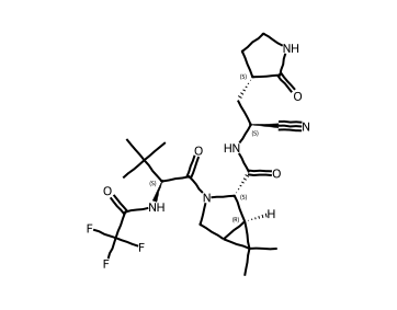 CC(C)(C)[C@H](NC(=O)C(F)(F)F)C(=O)N1CC2[C@@H]([C@H]1C(=O)N[C@H](C#N)C[C@@H]1CCNC1=O)C2(C)C